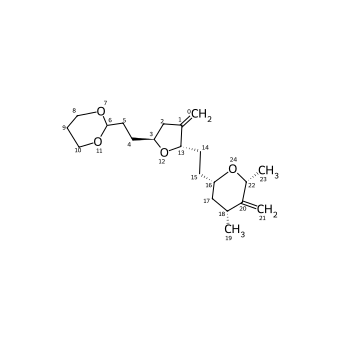 C=C1C[C@H](CCC2OCCCO2)O[C@H]1CC[C@H]1C[C@@H](C)C(=C)[C@@H](C)O1